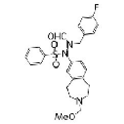 COCN1CCc2ccc(N(N(C=O)Cc3ccc(F)cc3)S(=O)(=O)c3ccccc3)cc2CC1